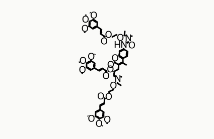 COc1cc(C=CC(=O)OCCOC(C)N(C)CC(Cc2c(C)c3ccc(NC(=O)N(C)C(C)OCCOC(=O)C=Cc4cc(OC)c(OC)c(OC)c4)cc3oc2=O)OC(=O)C=Cc2cc(OC)c(OC)c(OC)c2)cc(OC)c1OC